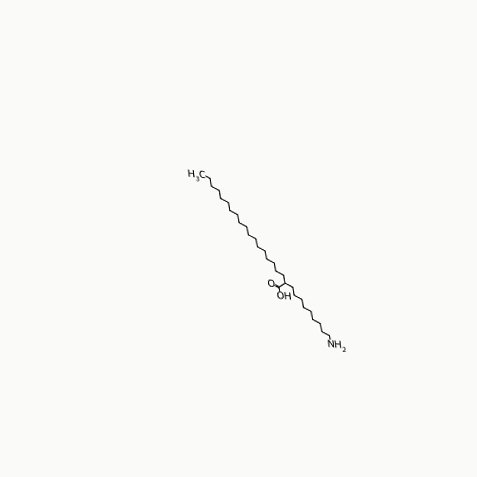 CCCCCCCCCCCCCCCCCCC(CCCCCCCCCN)C(=O)O